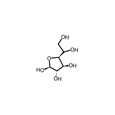 OCC(O)[C@@H]1O[C@H](O)[C@@H](O)[C@@H]1O